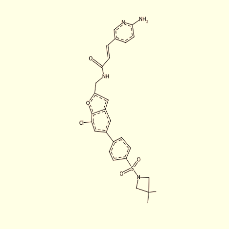 CC1(C)CN(S(=O)(=O)c2ccc(-c3cc(Cl)c4oc(CNC(=O)/C=C/c5ccc(N)nc5)cc4c3)cc2)C1